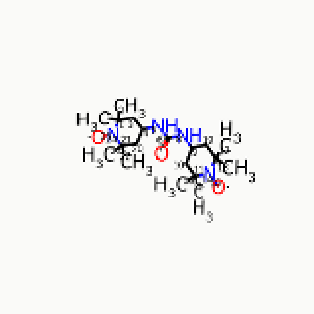 CC1(C)CC(NC(=O)NC2CC(C)(C)N([O])C(C)(C)C2)CC(C)(C)N1[O]